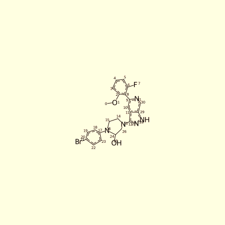 COc1cccc(F)c1-c1cc2c(N3CCN(c4ccc(Br)cc4)C(O)C3)n[nH]c2cn1